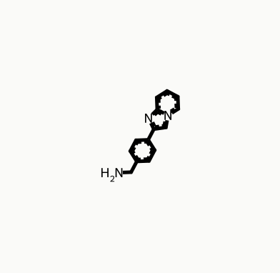 NCc1ccc(-c2cn3ccccc3n2)cc1